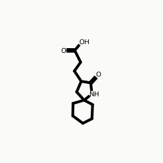 O=C(O)CCC1CC2(CCCCC2)NC1=O